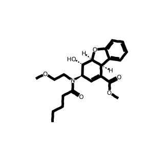 CCCCC(=O)N(CCOC)[C@@H]1C=C(C(=O)OC)[C@@H]2c3ccccc3O[C@@H]2[C@H]1O